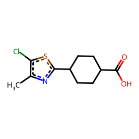 Cc1nc(C2CCC(C(=O)O)CC2)sc1Cl